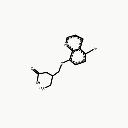 CCC(COc1ccc(Br)c2cccnc12)CC(=O)S